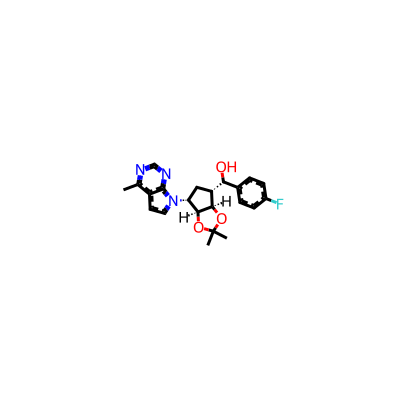 Cc1ncnc2c1ccn2[C@@H]1C[C@H](C(O)c2ccc(F)cc2)[C@H]2OC(C)(C)O[C@H]21